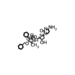 C[C@H](NP(=O)(OC[C@H]1S[C@@H](n2ccc(N)nc2=O)CC1O)Oc1ccccc1)C(=O)OCc1ccccc1